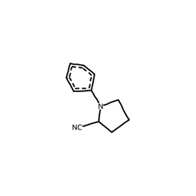 N#CC1CCCN1c1ccccc1